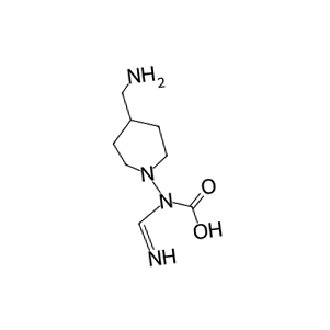 N=CN(C(=O)O)N1CCC(CN)CC1